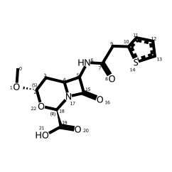 CO[C@@H]1CC2C(NC(=O)Cc3cccs3)C(=O)N2[C@@H](C(=O)O)O1